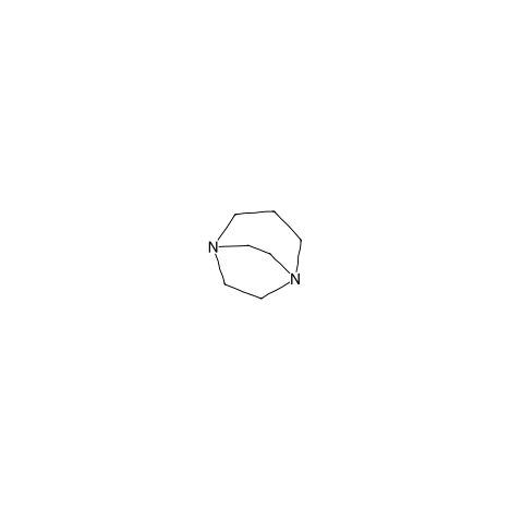 C1CN2CCN(C1)CC2